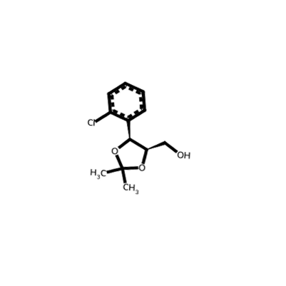 CC1(C)O[C@H](CO)[C@H](c2ccccc2Cl)O1